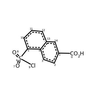 O=C(O)c1ccc2c(S(=O)(=O)Cl)cccc2c1